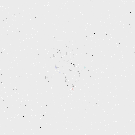 CN1C[C@H]2[C@@H]3CCC[C@@]3(C)CC[C@@H]2[C@]2(C)C1=CC(=O)CC2F